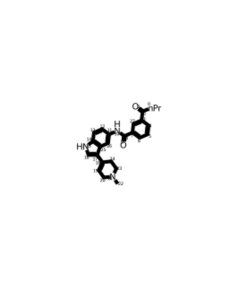 CCCC(=O)c1cccc(C(=O)Nc2ccc3[nH]cc(C4=CCN(C)CC4)c3c2)c1